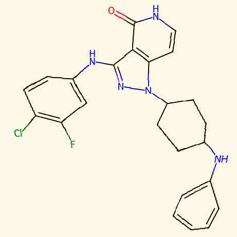 O=c1[nH]ccc2c1c(Nc1ccc(Cl)c(F)c1)nn2C1CCC(Nc2ccccc2)CC1